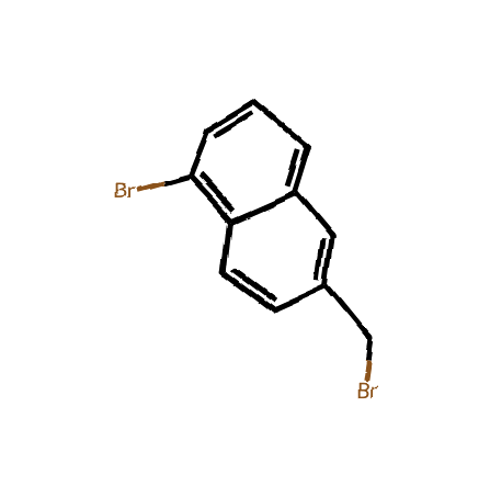 BrCc1ccc2c(Br)cccc2c1